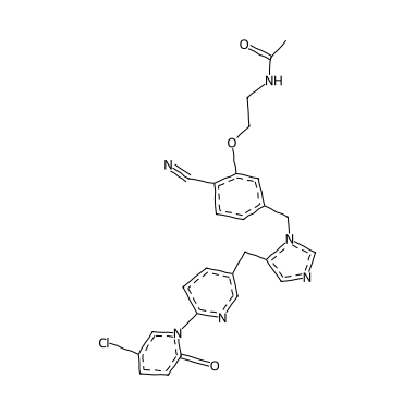 CC(=O)NCCOc1cc(Cn2cncc2Cc2ccc(-n3cc(Cl)ccc3=O)nc2)ccc1C#N